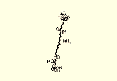 N.O=C(CCCC[C@@H]1SC[C@@H]2NC(=O)N[C@@H]21)NCCCCCCCCCCCC(=O)OC[C@@H](O)COP(=O)(O)O